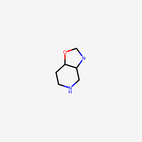 C1CC2OC[N]C2CN1